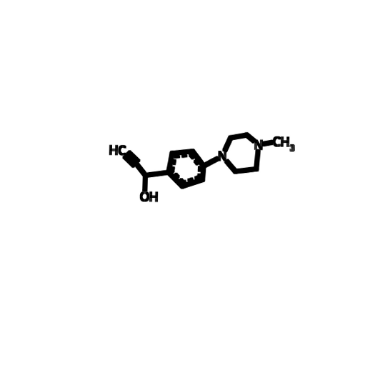 C#CC(O)c1ccc(N2CCN(C)CC2)cc1